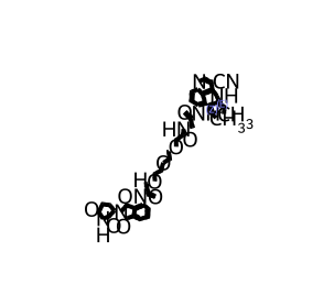 C/C=C\C(=C/C)Nc1c(C#N)cnc2ccc(NC(=O)CNC(=O)COCCOCCOCC(=O)Nc3cccc4c3C(=O)N(C3CCC(=O)NC3=O)C4=O)cc12